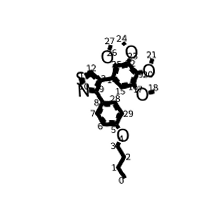 CCCCOc1ccc(-c2nscc2-c2cc(OC)c(OC)c(OC)c2OC)cc1